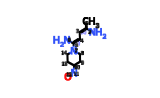 C/C(N)=C/C=C(\N)N1CCC(N=O)CC1